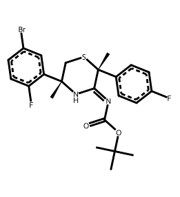 CC(C)(C)OC(=O)/N=C1\N[C@](C)(c2cc(Br)ccc2F)CS[C@]1(C)c1ccc(F)cc1